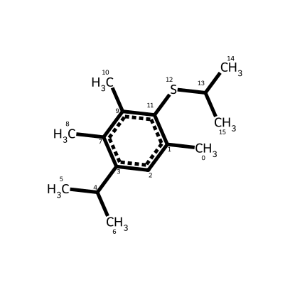 Cc1cc(C(C)C)c(C)c(C)c1SC(C)C